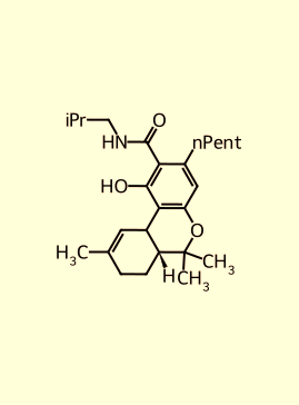 CCCCCc1cc2c(c(O)c1C(=O)NCC(C)C)C1C=C(C)CC[C@H]1C(C)(C)O2